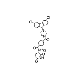 O=C1CCC(N2C(=O)c3ccc(C(=O)N4CCN(C5c6ccc(Cl)cc6-c6cc(Cl)ccc65)CC4)cc3C2=O)C(=O)N1